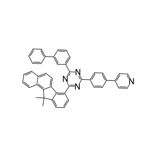 CC1(C)c2cccc(-c3nc(-c4ccc(-c5ccncc5)cc4)nc(-c4cccc(-c5ccccc5)c4)n3)c2-c2ccc3ccccc3c21